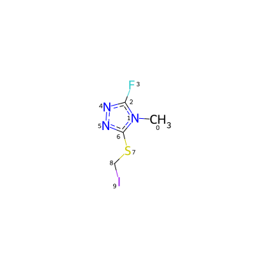 Cn1c(F)nnc1SCI